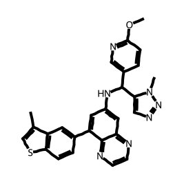 COc1ccc(C(Nc2cc(-c3ccc4scc(C)c4c3)c3nccnc3c2)c2cnnn2C)cn1